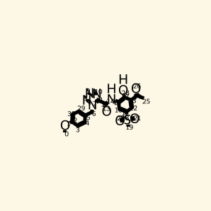 COc1ccc(Cn2nnnc2C(=O)Nc2cc(S(C)(=O)=O)cc(C(C)=O)c2O)cc1